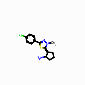 CN1N=C(c2ccc(Cl)cc2)SC1=C1CCCC1N